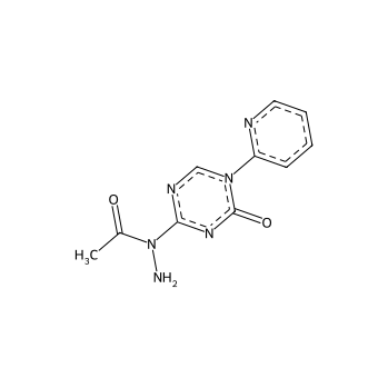 CC(=O)N(N)c1ncn(-c2ccccn2)c(=O)n1